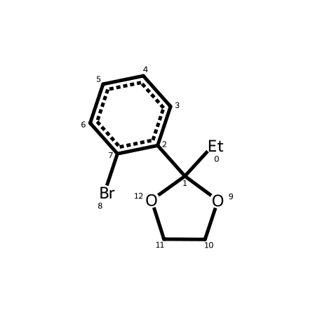 CCC1(c2ccccc2Br)OCCO1